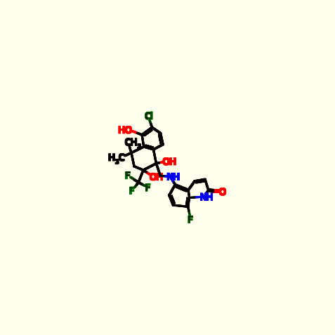 CC1(C)CC(O)(C(F)(F)F)C(O)(CNc2ccc(F)c3[nH]c(=O)ccc23)c2ccc(Cl)c(O)c21